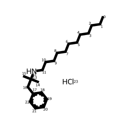 CCCCCCCCCCCCNC(C)(C)Cc1ccccc1.Cl